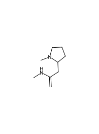 C=C(CC1CCCN1C)NC